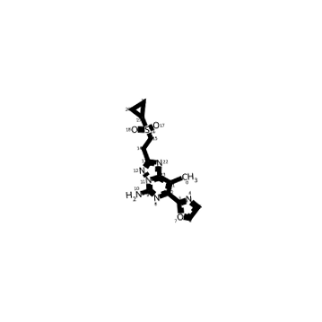 Cc1c(-c2ncco2)nc(N)n2nc(CCS(=O)(=O)C3CC3)nc12